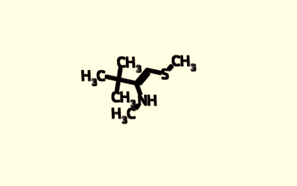 CN/C(=C\SC)C(C)(C)C